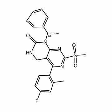 Cc1cc(F)ccc1-c1nc(S(C)(=O)=O)nc2c1CNC(=O)N2[C@@H](C)c1ccccc1